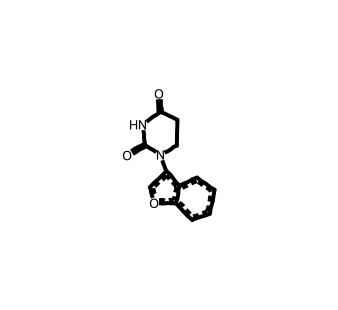 O=C1CCN(c2coc3ccccc23)C(=O)N1